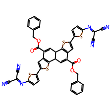 N#CC(C#N)=Nc1ccc(-c2cc3c(s2)C2C=C(C(=O)OCc4ccccc4)c4cc(-c5ccc(N=C(C#N)C#N)s5)sc4C2C=C3C(=O)OCc2ccccc2)s1